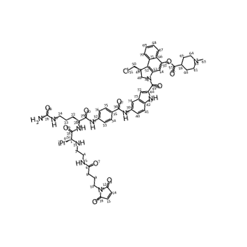 CC(C)[C@H](NCCNC(=O)CCCN1C(=O)C=CC1=O)C(=O)N[C@@H](CCCNC(N)=O)C(=O)Nc1ccc(C(=O)Nc2ccc3[nH]c(C(=O)N4C[C@@H](CCl)c5c4cc(OC(=O)C4CCN(C)CC4)c4ccccc54)cc3c2)cc1